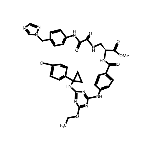 COC(=O)[C@H](CNC(=O)C(=O)Nc1ccc(Cn2cncn2)cc1)NC(=O)c1ccc(Nc2nc(NC3(c4ccc(Cl)cc4)CC3)nc(OCC(F)(F)F)n2)cc1